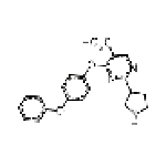 O=C(O)c1cnc(C2CCNC2)nc1Oc1ccc(Oc2ccccc2)cc1